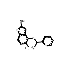 Cc1ccc2nc(C(C)(C)C)oc2c1SC(C)c1ccccn1